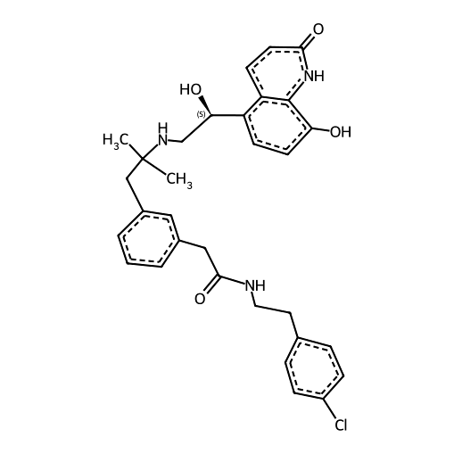 CC(C)(Cc1cccc(CC(=O)NCCc2ccc(Cl)cc2)c1)NC[C@@H](O)c1ccc(O)c2[nH]c(=O)ccc12